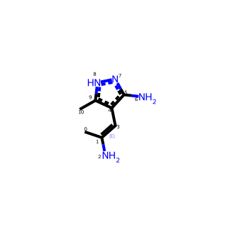 C/C(N)=C\c1c(N)n[nH]c1C